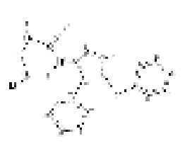 CCN1CN(C)C(=O)N(c2snc(Cc3ccccc3)c2-c2ccccc2)C1